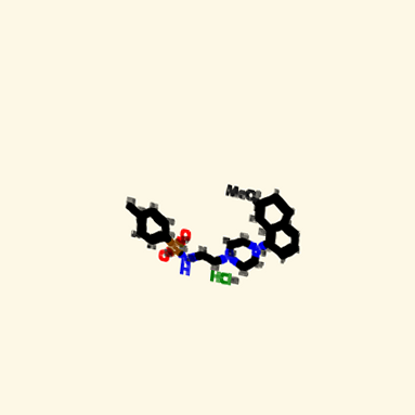 COc1ccc2cccc(N3CCN(CCNS(=O)(=O)c4ccc(C)cc4)CC3)c2c1.Cl